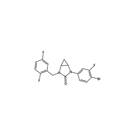 O=C1N(Cc2cc(F)ccc2F)C2CC2N1c1ccc(Br)c(F)c1